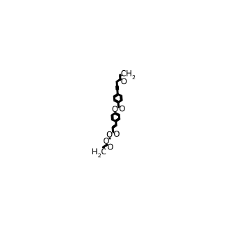 C=CC(=O)CC#Cc1ccc(C(=O)Oc2ccc(/C=C/C(=O)OCOC(=O)C=C)cc2)cc1